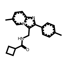 Cc1ccc(-c2nc3ccc(C)cn3c2CNC(=O)C2CCC2)cc1